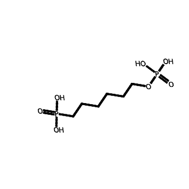 O=P(O)(O)CCCCCCOP(=O)(O)O